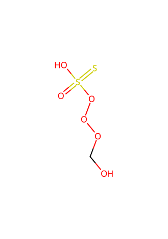 O=S(O)(=S)OOOCO